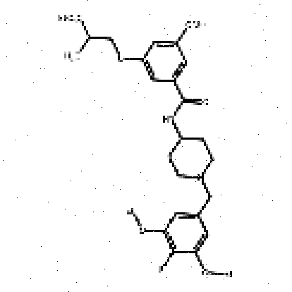 CCOC(=O)C(C)COc1cc(OC)cc(C(=O)NC2CCN(Cc3cc(OCC)c(F)c(OCC)c3)CC2)c1